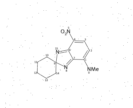 CNc1ccc([N+](=O)[O-])c2c1=NC1(CCCCC1)N=2